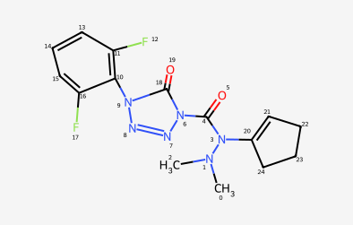 CN(C)N(C(=O)n1nnn(-c2c(F)cccc2F)c1=O)C1=CCCC1